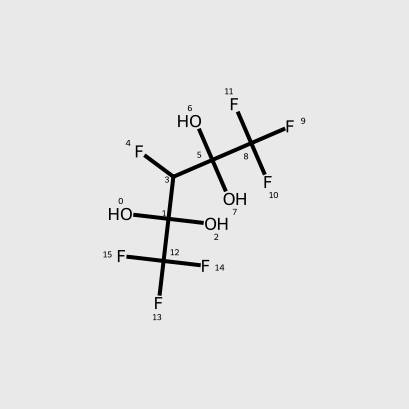 OC(O)(C(F)C(O)(O)C(F)(F)F)C(F)(F)F